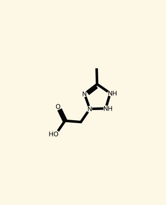 CC1=NN(CC(=O)O)NN1